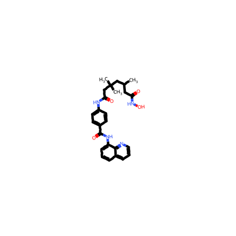 CC(CC(=O)NO)CC(C)(C)CC(=O)Nc1ccc(C(=O)Nc2cccc3cccnc23)cc1